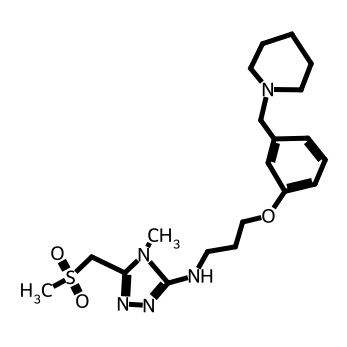 Cn1c(CS(C)(=O)=O)nnc1NCCCOc1cccc(CN2CCCCC2)c1